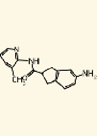 Cc1cccnc1NC(=O)[C@@H]1Cc2ccc(N)cc2C1